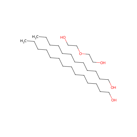 CCCCCCCCCCCCCCO.CCCCCCCCCCCCO.OCCOCCO